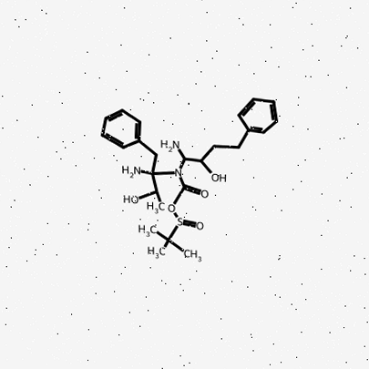 CC(O)C(N)(Cc1ccccc1)N(C(=O)OS(=O)C(C)(C)C)C(N)C(O)CCc1ccccc1